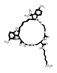 CCCCC1C(=O)NCCCCC(C(=O)NCCCCCC(=O)O)NC(=O)CCCCC[N+]2=C(/C=C/C=C/C=C3\Nc4ccc(C)cc4C31C)C(C)(C)c1cc(C)ccc12